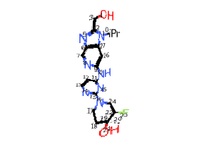 CC(C)n1c(CO)nc2cnc(Nc3ccnc(N4CC[C@](C)(O)[C@H](F)C4)n3)cc21